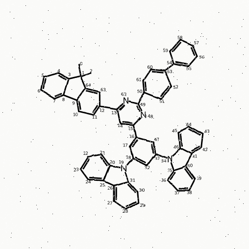 CC1(C)c2ccccc2-c2ccc(-c3cc(-c4cc(-n5c6ccccc6c6ccccc65)cc(-n5c6ccccc6c6ccccc65)c4)nc(-c4ccc(-c5ccccc5)cc4)n3)cc21